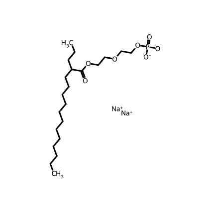 CCCCCCCCCCCCC(CCC)C(=O)OCCOCCOP(=O)([O-])[O-].[Na+].[Na+]